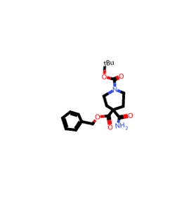 CC(C)(C)OC(=O)N1CCC(C(N)=O)(C(=O)OCc2ccccc2)CC1